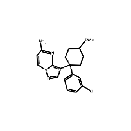 COC1CCC(c2cccc(Cl)c2)(c2cnn3ccc(N)nc23)CC1